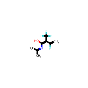 C=C(F)/C(=C(/O)N=C(C)C)C(F)(F)F